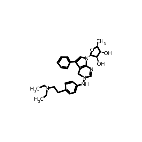 CCN(CC)CCc1ccc(NN2C=Nc3c(c(-c4ccccc4)cn3[C@@H]3O[C@H](C)[C@@H](O)[C@H]3O)C2)cc1